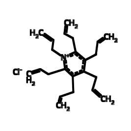 C=CCc1c(CC=C)c(CC=C)[n+](CC=C)c(CC=C)c1CC=C.[Cl-]